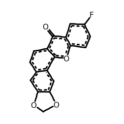 O=c1c2cc(F)ccc2oc2c1ccc1cc3c(cc12)OCO3